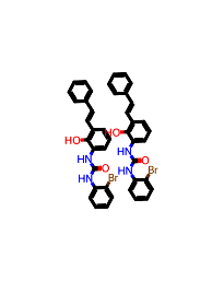 O=C(Nc1ccccc1Br)Nc1cccc(C=Cc2ccccc2)c1O.O=C(Nc1ccccc1Br)Nc1cccc(C=Cc2ccccc2)c1O